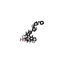 Cc1nc2c(cc(-c3ccnc(OC4CCN(Cc5ccccc5)CC4)c3)n2C)c(-c2cc(F)c3c(c2C)CCCO3)c1[C@H](OC(C)(C)C)C(=O)O